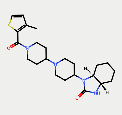 Cc1ccsc1C(=O)N1CCC(N2CCC(N3C(=O)N[C@H]4CCCC[C@@H]43)CC2)CC1